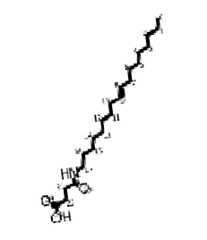 CCCCCCCCC=CCCCCCCCCNC(=O)CCC(=O)O